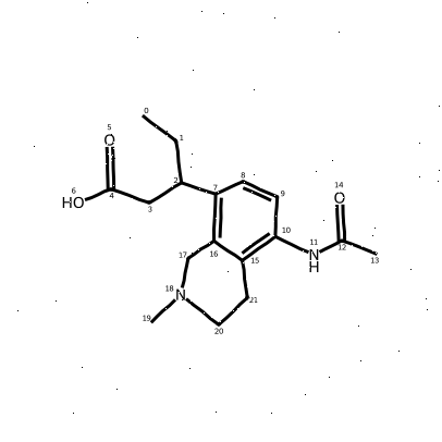 CCC(CC(=O)O)c1ccc(NC(C)=O)c2c1CN(C)CC2